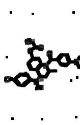 CC(=O)N(c1ccc(Cl)cc1)[C@H]1CC(C)N(C(=O)c2ccc(N(C)C)cc2)c2cc(OC(=O)C(C)(C)C)ccc21